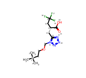 C[Si](C)(C)CCOCn1nnnc1C[C@H](CC(F)(F)F)C(=O)O